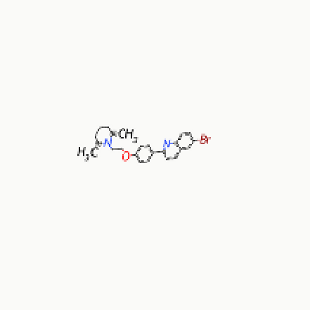 C[C@@H]1CCC[C@H](C)N1CCOc1ccc(-c2ccc3cc(Br)ccc3n2)cc1